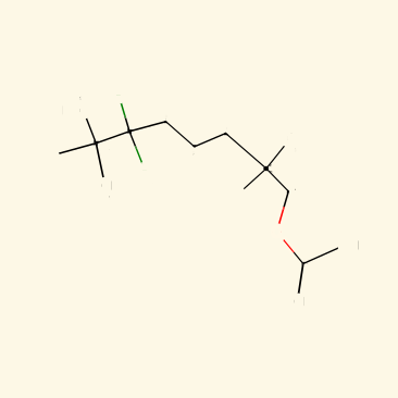 CC(C)OCC(C)(C)CCCC(F)(F)C(C)(C)C